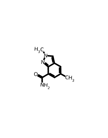 Cc1cc(C(N)=O)c2nn(C)cc2c1